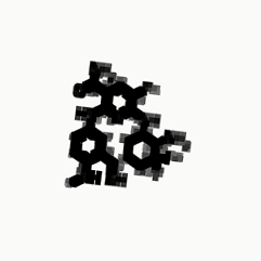 CNc1ccc(Nc2nc(N[C@@H]3CCCC(F)(F)[C@@H]3N)c(F)cc2C(N)=O)cc1C=N